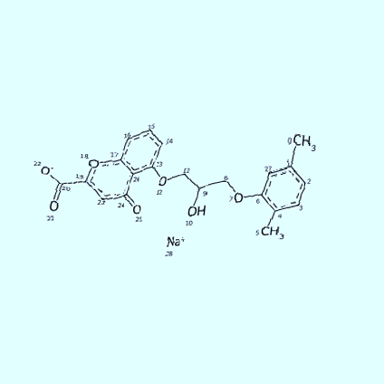 Cc1ccc(C)c(OCC(O)COc2cccc3oc(C(=O)[O-])cc(=O)c23)c1.[Na+]